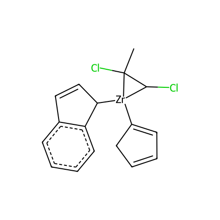 C[C]1(Cl)[CH](Cl)[Zr]1([C]1=CC=CC1)[CH]1C=Cc2ccccc21